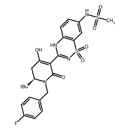 CC(C)(C)[C@H]1CC(O)=C(C2=NS(=O)(=O)c3cc(NS(C)(=O)=O)ccc3N2)C(=O)N1Cc1ccc(F)cc1